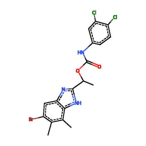 Cc1c(Br)cc2nc(C(C)OC(=O)Nc3ccc(Cl)c(Cl)c3)[nH]c2c1C